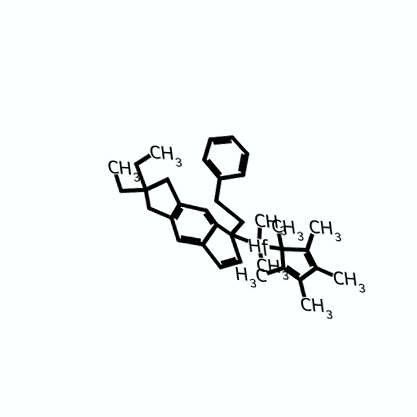 CCC1(CC)Cc2cc3c(cc2C1)[C](CCc1ccccc1)([Hf]([CH3])([CH3])[C]1(C)C(C)=C(C)C(C)=C1C)C=C3